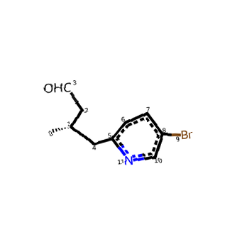 C[C@H](CC=O)Cc1ccc(Br)cn1